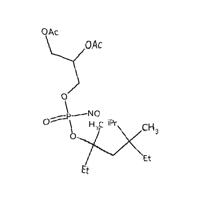 CCC(C)(CC(C)(CC)C(C)C)OP(=O)(N=O)OCC(COC(C)=O)OC(C)=O